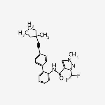 CCC(C)(C#Cc1ccc(-c2ccccc2NC(=O)c2cn(C)nc2C(F)F)cc1)CC